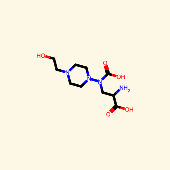 NC(CN(C(=O)O)N1CCN(CCO)CC1)C(=O)O